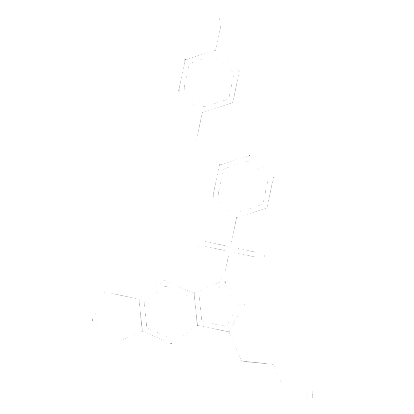 O=C(O)CCc1cn(S(=O)(=O)c2cccc(Oc3ccc(Cl)c(Cl)c3)c2)c2cc3c(cc12)OCO3